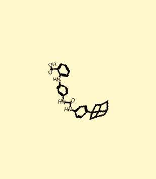 O=C(Nc1ccc(Nc2ccccc2C(=O)O)cc1)Nc1ccc(C23CC4CC5CC(C2)C43C5)cc1